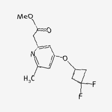 COC(=O)Cc1cc(OC2CC(F)(F)C2)cc(C)n1